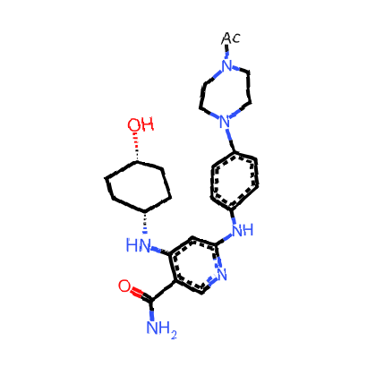 CC(=O)N1CCN(c2ccc(Nc3cc(N[C@H]4CC[C@@H](O)CC4)c(C(N)=O)cn3)cc2)CC1